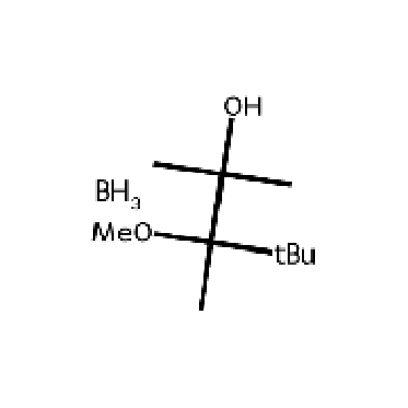 B.COC(C)(C(C)(C)C)C(C)(C)O